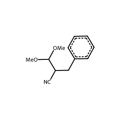 COC(OC)C(C#N)Cc1ccccc1